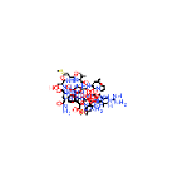 CSCC[C@H](NC(=O)[C@H](CO)NC(=O)[C@H](CCC(N)=O)NC(=O)[C@@H]1CCCN1C(=O)[C@H](CCC(=O)O)NC(=O)[C@H](CC(C)C)NC(=O)[C@H](CCCNC(=N)N)NC(=O)[C@@H](N)CCSC)C(=O)N[C@H](C(=O)N[C@@H](Cc1c[nH]c2ccccc12)C(=O)N[C@@H](CC(C)C)C(=O)N1CCC[C@H]1C(=O)N[C@H](C(=O)N[C@@H](CC(C)C)C(=O)N[C@@H](Cc1c[nH]cn1)C(=O)O)C(C)C)C(C)C